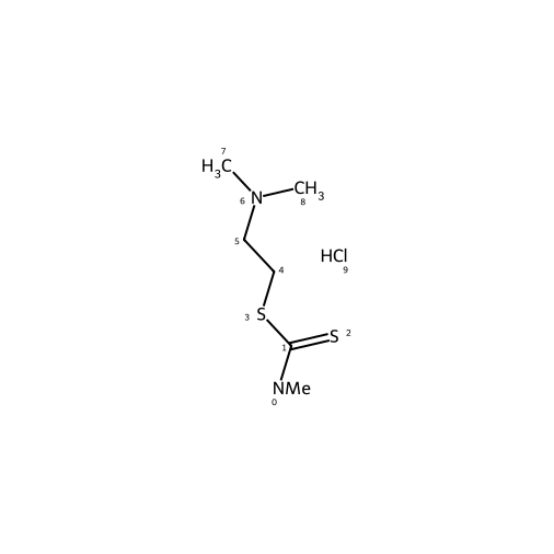 CNC(=S)SCCN(C)C.Cl